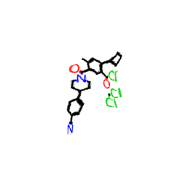 Cc1cc(C2CCC2)c(C(=O)Cl)cc1C(=O)N1CCC(c2ccc(C#N)cc2)CC1.ClCCl